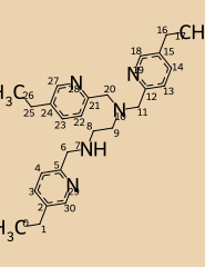 CCc1ccc(CNCCN(Cc2ccc(CC)cn2)Cc2ccc(CC)cn2)nc1